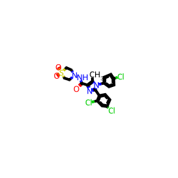 Cc1c(C(=O)NN2CCS(=O)(=O)CC2)nc(-c2ccc(Cl)cc2Cl)n1-c1ccc(Cl)cc1